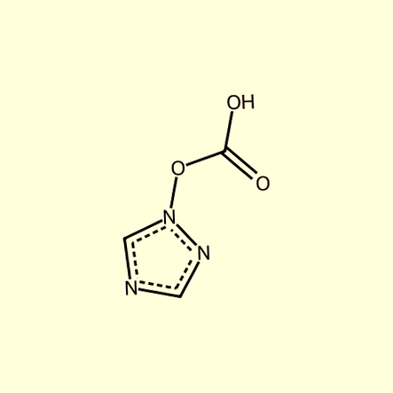 O=C(O)On1cncn1